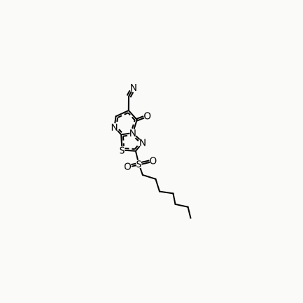 CCCCCCCS(=O)(=O)c1nn2c(=O)c(C#N)cnc2s1